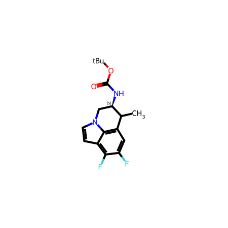 CC1c2cc(F)c(F)c3ccn(c23)C[C@H]1NC(=O)OC(C)(C)C